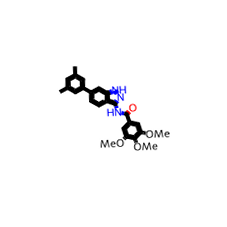 COc1cc(C(=O)Nc2n[nH]c3cc(-c4cc(C)cc(C)c4)ccc23)cc(OC)c1OC